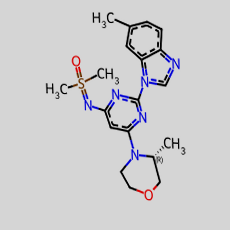 Cc1ccc2ncn(-c3nc(N=S(C)(C)=O)cc(N4CCOC[C@H]4C)n3)c2c1